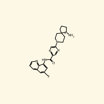 N[C@@H]1CCCC12CCN(c1cnc(C(=O)Nc3cc(F)cc4cccnc34)cn1)CC2